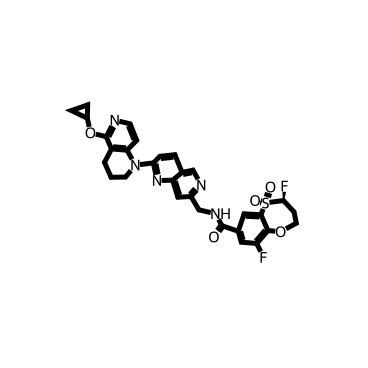 O=C(NCc1cc2nc(N3CCCc4c3ccnc4OC3CC3)ccc2cn1)c1cc(F)c2c(c1)S(=O)(=O)[C@@H](F)CCO2